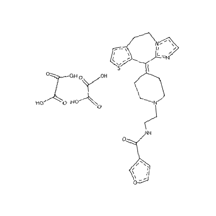 O=C(NCCN1CCC(=C2c3sccc3CCn3ccnc32)CC1)c1ccoc1.O=C(O)C(=O)O.O=C(O)C(=O)O